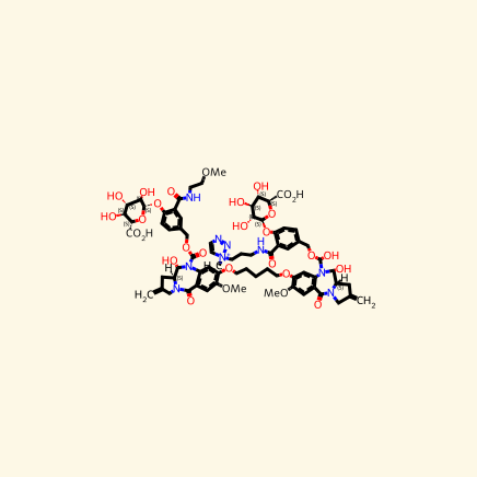 C=C1C[C@H]2C(O)N(C(=O)OCc3ccc(O[C@@H]4O[C@H](C(=O)O)[C@@H](O)[C@H](O)[C@H]4O)c(C(=O)NCCOC)c3)c3cc(OCCCCCOc4cc5c(cc4OC)C(=O)N4CC(=C)C[C@H]4C(O)N5C(O)OCc4ccc(O[C@@H]5O[C@H](C(=O)O)[C@@H](O)[C@H](O)[C@H]5O)c(C(=O)NCCC[N+]5(C)C=CN=N5)c4)c(OC)cc3C(=O)N2C1